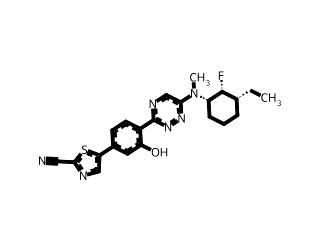 CC[C@@H]1CCC[C@H](N(C)c2cnc(-c3ccc(-c4cnc(C#N)s4)cc3O)nn2)[C@@H]1F